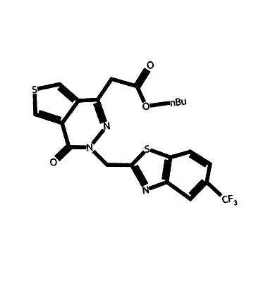 CCCCOC(=O)Cc1nn(Cc2nc3cc(C(F)(F)F)ccc3s2)c(=O)c2cscc12